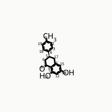 Cc1ccc([C@@H]2CC(=O)c3c(O)cc(O)cc3C2)cc1